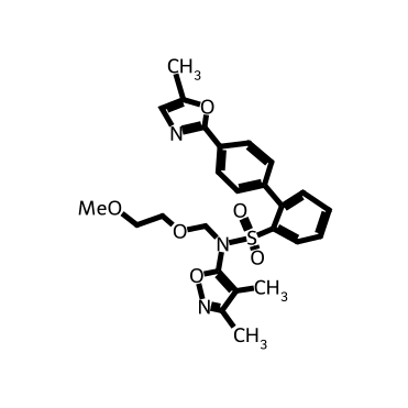 COCCOCN(c1onc(C)c1C)S(=O)(=O)c1ccccc1-c1ccc(-c2ncc(C)o2)cc1